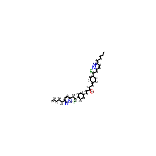 CCCCCc1ccc(CC(F)C2CCC(CCC(=O)CC[C@H]3CC[C@H](C(F)Cc4ccc(CCCCC)nn4)CC3)CC2)nn1